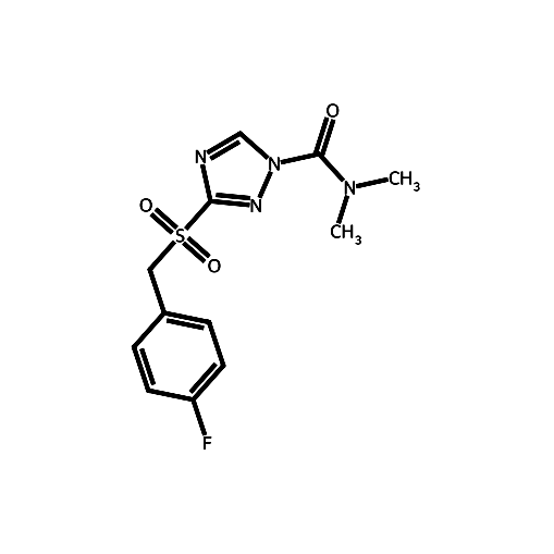 CN(C)C(=O)n1cnc(S(=O)(=O)Cc2ccc(F)cc2)n1